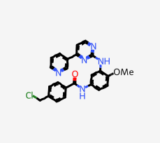 COc1ccc(NC(=O)c2ccc(CCl)cc2)cc1Nc1nccc(-c2cccnc2)n1